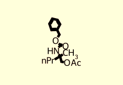 CCCC(C)(COC(C)=O)NC(=O)OCc1ccccc1